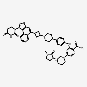 CN1CCN([C@@H]2CCCN(c3cnc(C(N)=O)c(Nc4ccc(C5CCN(C6CC(c7cc8onc(C9CCC(=O)NC9=O)c8c8ccccc78)C6)CC5)cc4)n3)C2)C1=O